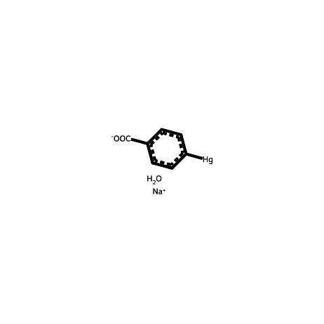 O.O=C([O-])c1cc[c]([Hg])cc1.[Na+]